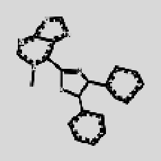 Cn1cnc2ncnc-2c1C1=NC(c2ccccc2)C(c2ccccc2)O1